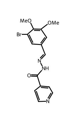 COc1cc(/C=N/NC(=O)c2ccncc2)cc(Br)c1OC